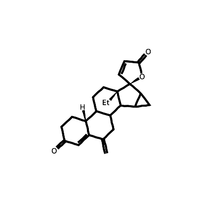 C=C1CC2C(CC[C@@]3(CC)C2C2CC2[C@@]32C=CC(=O)O2)[C@H]2CCC(=O)C=C12